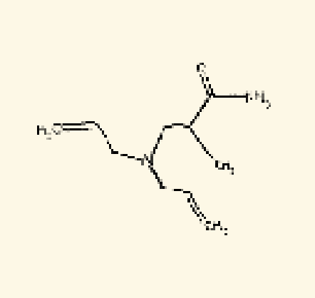 C=CCN(CC=C)CC(C)C(N)=O